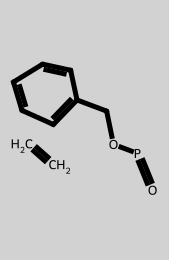 C=C.O=POCc1ccccc1